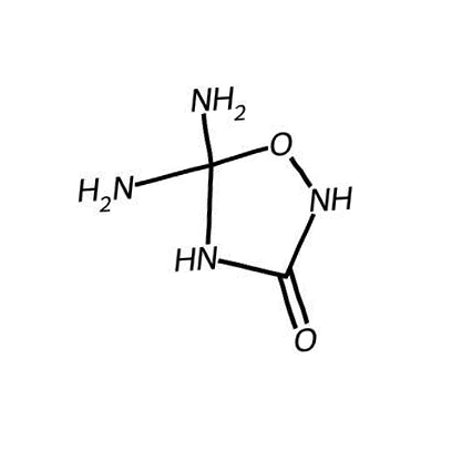 NC1(N)NC(=O)NO1